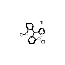 ClOc1ccccc1C(c1cccs1)c1ccccc1OCl.[Ti]